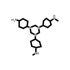 CNC1CCC(N2CN(C3CCC(N)CC3)CN(C3CCC(NC)CC3)C2)CC1